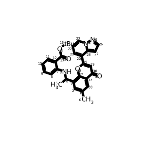 Cc1cc(C(C)Nc2ccccc2C(=O)OC(C)(C)C)c2oc(-c3cccn4nccc34)cc(=O)c2c1